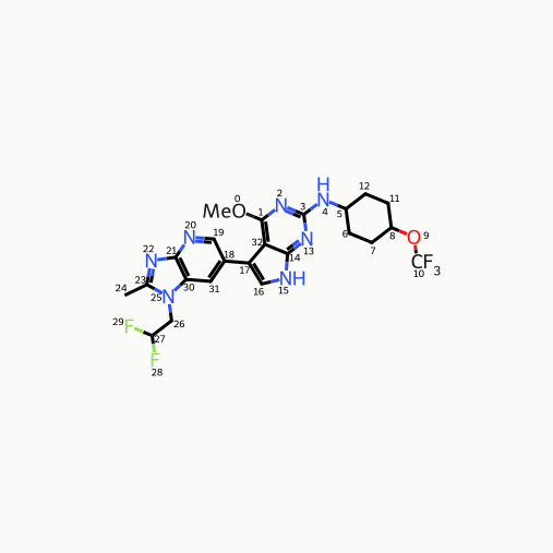 COc1nc(NC2CCC(OC(F)(F)F)CC2)nc2[nH]cc(-c3cnc4nc(C)n(CC(F)F)c4c3)c12